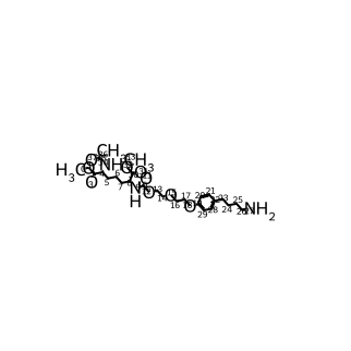 COC(=O)C(CCCC(NC(=O)OCCOCCOc1ccc(CCCCN)cc1)C(=O)OC)NC(C)=O